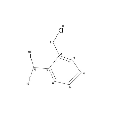 ClCc1ccccc1C(I)I